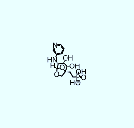 O=P(O)(O)CC[C@@]12CO[C@@H](O1)[C@H](Nc1cccnc1)[C@@H](O)[C@@H]2O